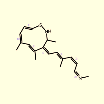 C\N=C/C=C\C(C)=C\C=C1\C(C)=C\C(C)=C/C=C/SNC1C